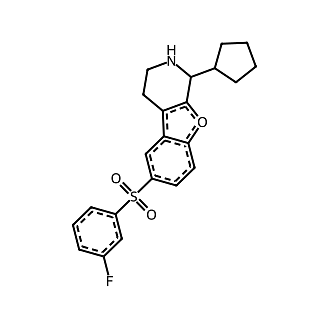 O=S(=O)(c1cccc(F)c1)c1ccc2oc3c(c2c1)CCNC3C1CCCC1